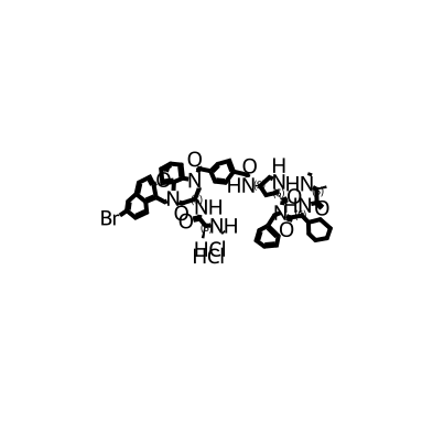 CN[C@@H](C)C(=O)N[C@H]1CN(C(=O)c2ccc(C(=O)N[C@@H]3CN[C@H](C(=O)N(Cc4ccccc4)C(=O)[C@@H](NC(=O)[C@H](C)NC)C4CCCCC4)C3)cc2)c2ccccc2N(Cc2c(OC)ccc3cc(Br)ccc23)C1=O.Cl.Cl